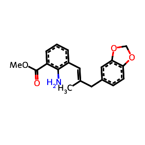 COC(=O)c1cccc(C=C(C)Cc2ccc3c(c2)OCO3)c1N